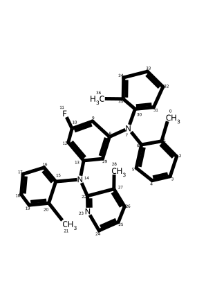 Cc1ccccc1N(c1cc(F)cc(N(c2ccccc2C)c2ncccc2C)c1)c1ccccc1C